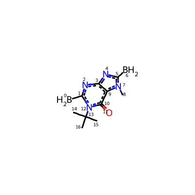 Bc1nc2nc(B)n(C)c2c(=O)n1C(C)(C)C